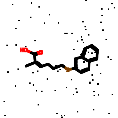 CC(=CCCCSc1ccc2ccccc2c1)C(=O)O